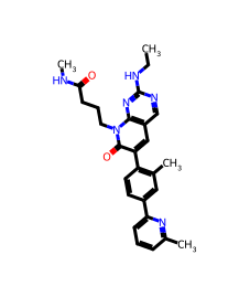 CCNc1ncc2cc(-c3ccc(-c4cccc(C)n4)cc3C)c(=O)n(CCCC(=O)NC)c2n1